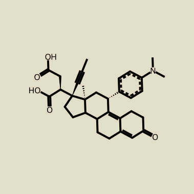 CC#C[C@]1([C@H](CC(=O)O)C(=O)O)CCC2C3CCC4=CC(=O)CCC4=C3[C@@H](c3ccc(N(C)C)cc3)C[C@@]21C